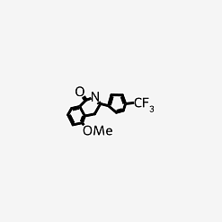 COc1cccc2c1CC(c1ccc(C(F)(F)F)cc1)=NC2=O